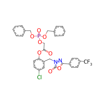 O=C(COP(=O)(OCc1ccccc1)OCc1ccccc1)Oc1ccc(Cl)cc1Cn1nc(-c2ccc(C(F)(F)F)cc2)oc1=O